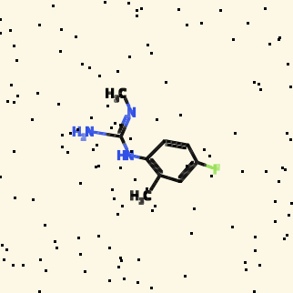 CN=C(N)Nc1ccc(F)cc1C